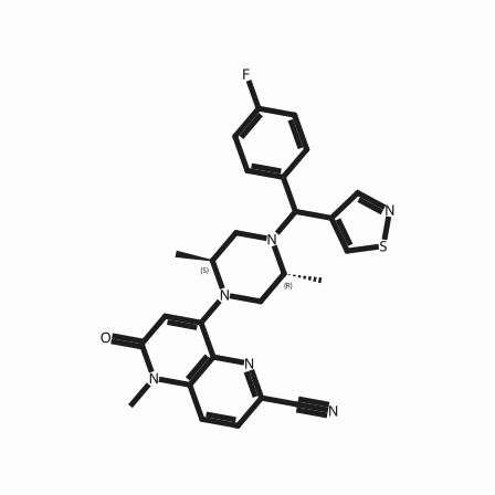 C[C@@H]1CN(c2cc(=O)n(C)c3ccc(C#N)nc23)[C@@H](C)CN1C(c1ccc(F)cc1)c1cnsc1